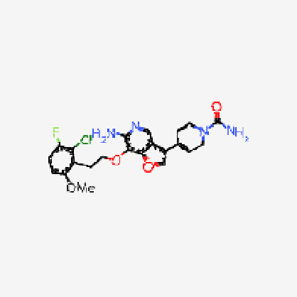 COc1ccc(F)c(Cl)c1CCOc1c(N)ncc2c(C3=CCN(C(N)=O)CC3)coc12